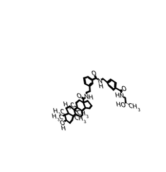 C[C@H](O)CNC(=O)c1ccc(CNC(=O)c2cccc(CCNC(=O)C34CCCC3C3CCC5C6(C)CCC(O)C(C)(C)C6CCC5(C)[C@]3(C)CC4)c2)cc1